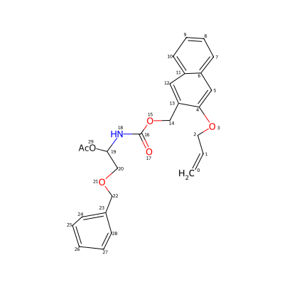 C=CCOc1cc2ccccc2cc1COC(=O)NC(COCc1ccccc1)OC(C)=O